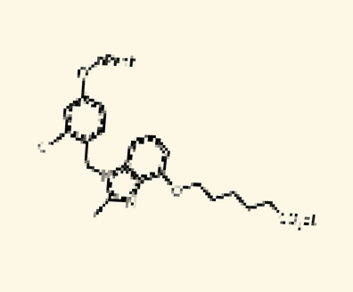 CCCCCOc1ccc(Cn2c(C)nc3c(OCCCCCC(=O)OCC)cccc32)c(Cl)c1